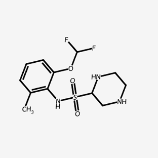 Cc1cccc(OC(F)F)c1NS(=O)(=O)C1CNCCN1